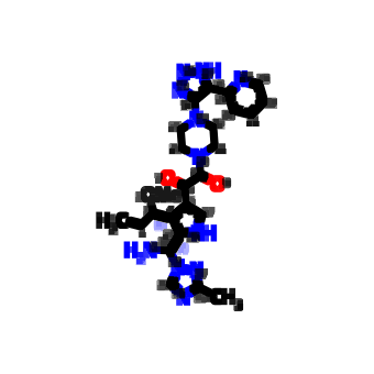 C=C/C(OC)=c1/c(C(=O)C(=O)N2CCN(c3nn[nH]c3-c3ccccn3)CC2)c[nH]/c1=C(/N)n1cnc(C)n1